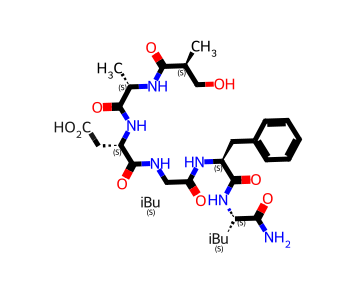 CC[C@H](C)C(NC(=O)[C@H](CC(=O)O)NC(=O)[C@H](C)NC(=O)[C@@H](C)CO)C(=O)N[C@@H](Cc1ccccc1)C(=O)N[C@H](C(N)=O)[C@@H](C)CC